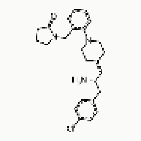 N[C@H](C=C1CCN(c2ccccc2CN2CCCC2=O)CC1)Cc1ccc(Cl)cc1